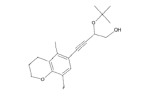 Cc1c(C#CC(CO)OC(C)(C)C)cc(F)c2c1CCCO2